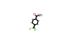 CC(C)C(=O)C1CCC(C(F)F)CC1